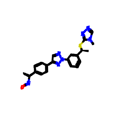 CC(N=O)c1ccc(-c2cnn(-c3cccc([C@H](C)Sc4nncn4C)c3)n2)cc1